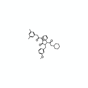 COc1cccc(CC2C(=O)C3C(C(=O)Cc4cc(C)cc(C)c4)C4C=CC3(O4)C2C(=O)CC2CCCCC2)c1